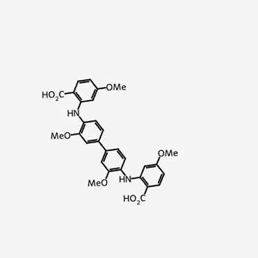 COc1ccc(C(=O)O)c(Nc2ccc(-c3ccc(Nc4cc(OC)ccc4C(=O)O)c(OC)c3)cc2OC)c1